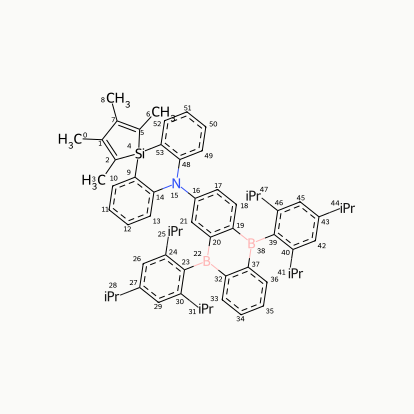 CC1=C(C)[Si]2(C(C)=C1C)c1ccccc1N(c1ccc3c(c1)B(c1c(C(C)C)cc(C(C)C)cc1C(C)C)c1ccccc1B3c1c(C(C)C)cc(C(C)C)cc1C(C)C)c1ccccc12